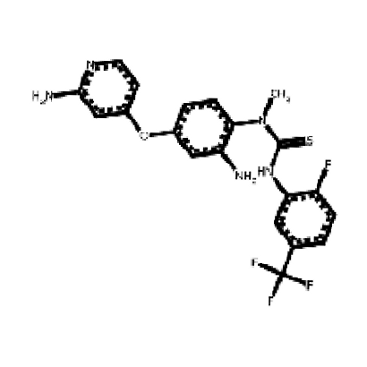 CN(C(=S)Nc1cc(C(F)(F)F)ccc1F)c1ccc(Oc2ccnc(N)c2)cc1N